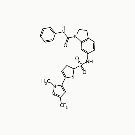 Cn1nc(C(F)(F)F)cc1C1=CCC(S(=O)(=O)Nc2ccc3c(c2)N(C(=O)Nc2ccccc2)CC3)S1